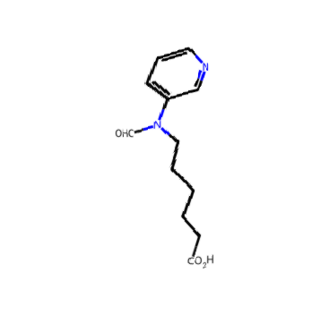 O=CN(CCCCCC(=O)O)c1cccnc1